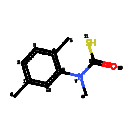 Cc1ccc(C)c(N(C)C(=O)S)c1